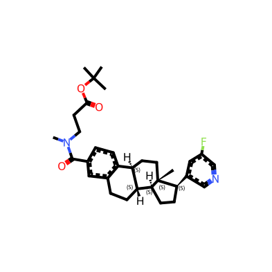 CN(CCC(=O)OC(C)(C)C)C(=O)c1ccc2c(c1)CC[C@@H]1[C@@H]2CC[C@]2(C)[C@@H](c3cncc(F)c3)CC[C@@H]12